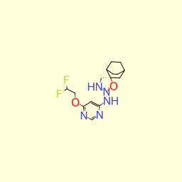 FC(F)COc1cc(NN2NC[C@]3(CC4CCC3CC4)O2)ncn1